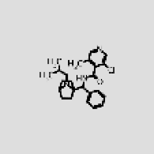 Cc1cncc(Cl)c1C(=O)NC(c1ccccc1)C12CCC(CC1)N2CC(C)C